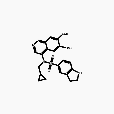 COc1cc2nncc(N(CC3CC3)S(=O)(=O)c3ccc4c(c3)CCN4)c2cc1OC